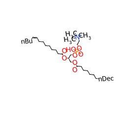 CCCC/C=C\CCCCCCCC(=O)O[C@H](COC(=O)CCCCCCCCCCCCCCCC)COP(=O)(O)OCC[N+](C)(C)C